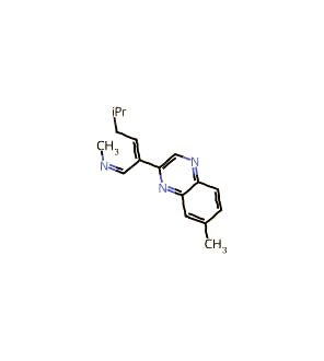 C/N=C\C(=C/CC(C)C)c1cnc2ccc(C)cc2n1